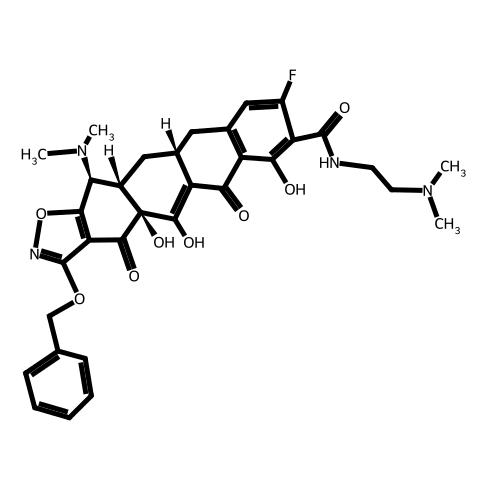 CN(C)CCNC(=O)c1c(F)cc2c(c1O)C(=O)C1=C(O)[C@]3(O)C(=O)c4c(OCc5ccccc5)noc4[C@@H](N(C)C)[C@@H]3C[C@@H]1C2